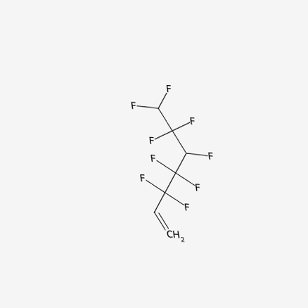 C=CC(F)(F)C(F)(F)C(F)C(F)(F)C(F)F